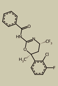 C[C@@]1(c2cccc(F)c2Cl)C[C@@H](C(F)(F)F)N=C(NC(=O)c2ccccc2)O1